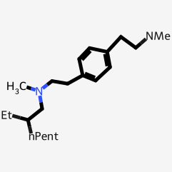 CCCCCC(CC)CN(C)CCc1ccc(CCNC)cc1